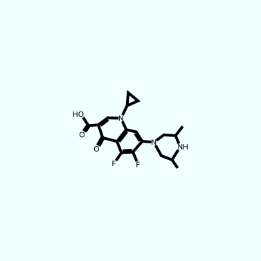 CC1CN(c2cc3c(c(F)c2F)c(=O)c(C(=O)O)cn3C2CC2)CC(C)N1